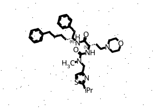 CC(C)c1nc(CN(C)C(=O)N[C@@H](CCN2CCOCC2)C(=O)N[C@H](CC[CH]Cc2ccccc2)Cc2ccccc2)cs1